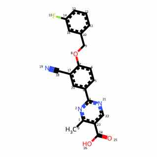 Cc1nc(-c2ccc(OCc3cccc(F)c3)c(C#N)c2)ncc1C(=O)O